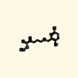 CC(C)(C)OC(=O)NCCCOCc1nc(Cl)ccc1Br